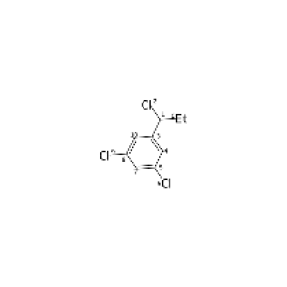 CCC(Cl)c1cc(Cl)cc(Cl)c1